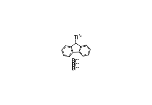 [Br-].[Br-].[Br-].[Ti+3][CH]1c2ccccc2-c2ccccc21